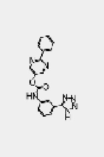 O=C(Nc1cccc(-c2nnn[nH]2)c1)Oc1cnc(-c2ccccc2)nc1